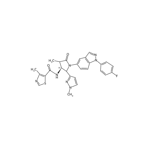 Cc1ncsc1C(=O)N[C@H]1C(C)C(=O)N(c2ccc3c(cnn3-c3ccc(F)cc3)c2)C1c1ccn(C)n1